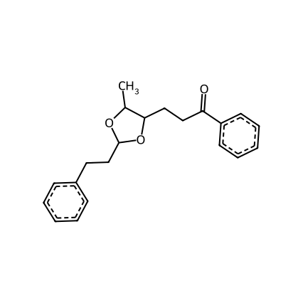 CC1OC(CCc2ccccc2)OC1CCC(=O)c1ccccc1